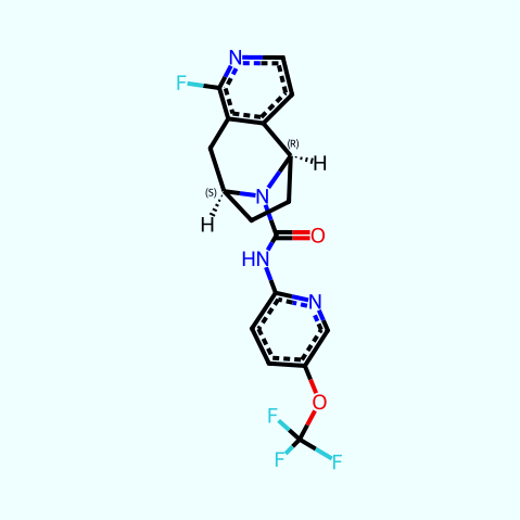 O=C(Nc1ccc(OC(F)(F)F)cn1)N1[C@H]2CC[C@@H]1c1ccnc(F)c1C2